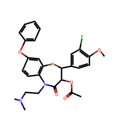 COc1ccc(C2Sc3cc(Oc4ccccc4)ccc3N(CCN(C)C)C(=O)C2OC(C)=O)cc1F